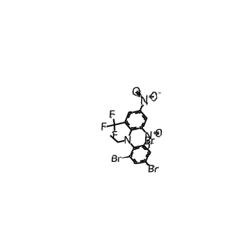 CCN(c1c(Br)cc(Br)cc1Br)c1c([N+](=O)[O-])cc([N+](=O)[O-])cc1C(F)(F)F